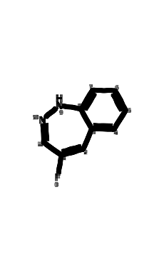 FC1=Cc2ccccc2NN=C1